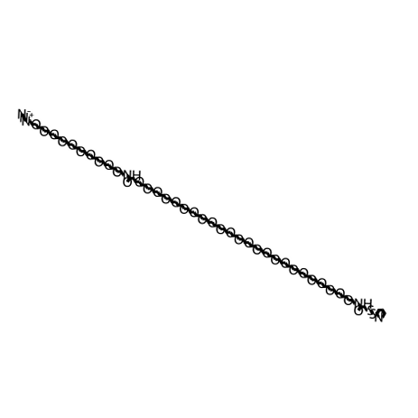 [N-]=[N+]=NCCOCCOCCOCCOCCOCCOCCOCCOCCOCCOCCNC(=O)CCOCCOCCOCCOCCOCCOCCOCCOCCOCCOCCOCCOCCOCCOCCOCCOCCOCCOCCOCCOCCOCCOCCOCCOCCNC(=O)CCSSc1ccccn1